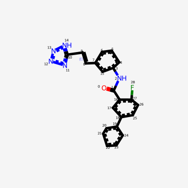 O=C(Nc1cccc(/C=C/c2nnn[nH]2)c1)c1cc(-c2ccccc2)ccc1F